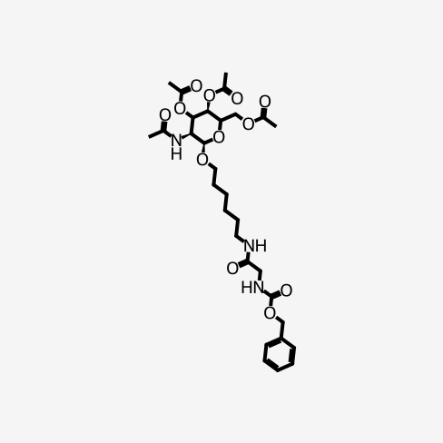 CC(=O)N[C@H]1C(OC(C)=O)[C@@H](OC(C)=O)C(COC(C)=O)O[C@H]1OCCCCCCNC(=O)CNC(=O)OCc1ccccc1